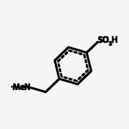 C[N]Cc1ccc(S(=O)(=O)O)cc1